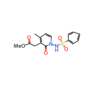 COC(=O)Cc1c(C)ccn(NS(=O)(=O)c2ccccc2)c1=O